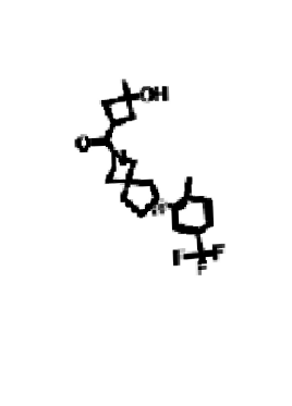 Cc1ccc(C(F)(F)F)cc1[C@@H]1CCC2(C1)CN(C(=O)C1CC(C)(O)C1)C2